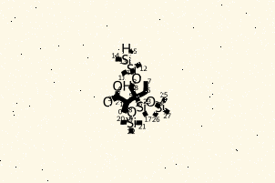 C=C(C(=O)O)C(CC)(CO[Si](C)(C)[SiH](C)C)[Si](C)(O[Si](C)(C)C)O[Si](C)(C)C